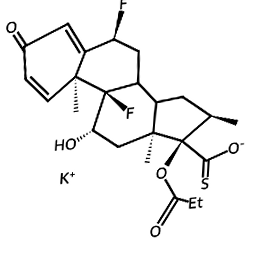 CCC(=O)O[C@]1(C([O-])=S)[C@H](C)CC2C3C[C@H](F)C4=CC(=O)C=C[C@]4(C)[C@@]3(F)[C@@H](O)C[C@@]21C.[K+]